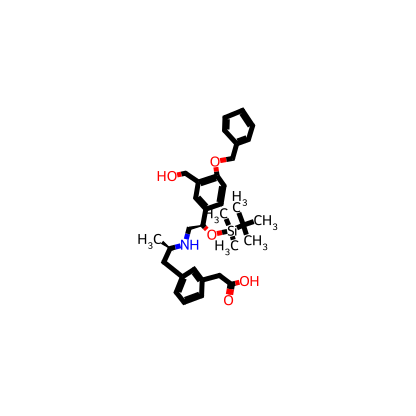 C[C@H](Cc1cccc(CC(=O)O)c1)NC[C@H](O[Si](C)(C)C(C)(C)C)c1ccc(OCc2ccccc2)c(CO)c1